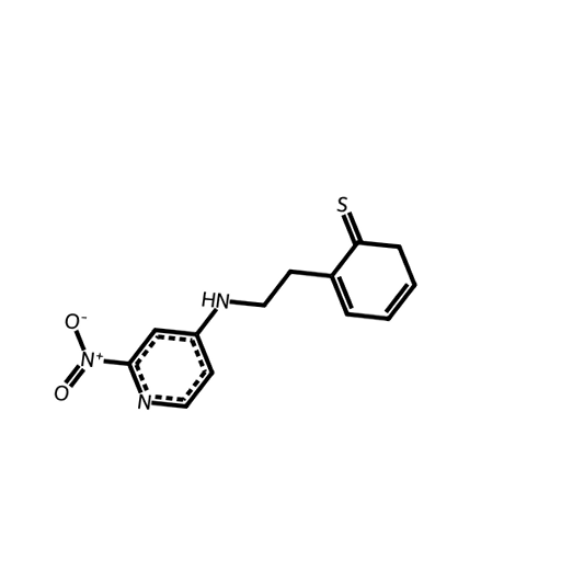 O=[N+]([O-])c1cc(NCCC2=CC=CCC2=S)ccn1